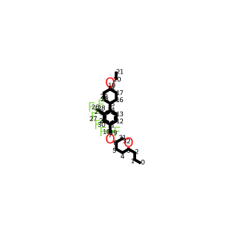 CCCC1CCC(OC(F)(F)c2ccc(C3CCC(OCC)CC3)c(C(F)(F)F)c2F)CO1